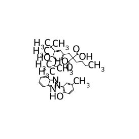 CCCCC(Cc1cc(C(C)(C)C)c(O)c(C(C)(C)C)c1)(C(=O)O)C(=O)O.Cc1ccc(O)c(-n2nc3ccccc3n2)c1